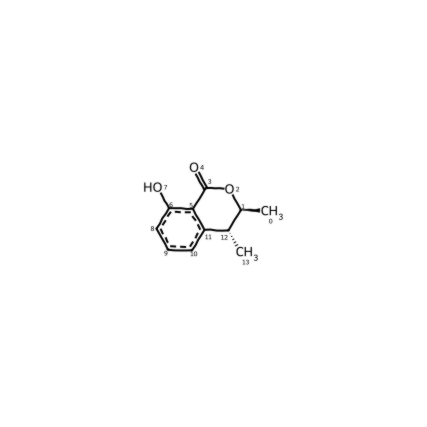 C[C@@H]1OC(=O)c2c(O)cccc2[C@H]1C